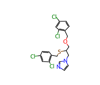 Clc1ccc(COCC(Cn2ccnc2)SCc2ccc(Cl)cc2Cl)c(Cl)c1